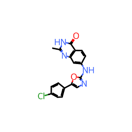 Cc1nc2cc(Nc3ncc(-c4ccc(Cl)cc4)o3)ccc2c(=O)[nH]1